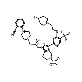 CS(=O)(=O)N1CCc2c(c(-c3ccc(C(F)(F)F)c(SCCN4CCC(F)CC4)c3)nn2C[C@H](O)CN2CCN(c3ccccc3C#N)CC2)C1